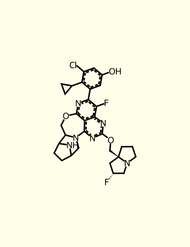 Oc1cc(Cl)c(C2CC2)c(-c2nc3c4c(nc(OC[C@@]56CCCN5C[C@H](F)C6)nc4c2F)N2CC4CCC(N4)C2CO3)c1